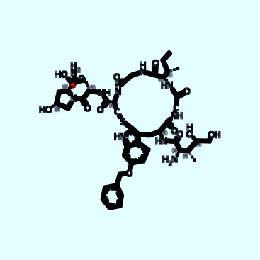 CC[C@H](C)[C@@H]1NC(=O)CNC(=O)[C@@H](NC(=O)[C@@H](N)[C@@H](C)[C@@H](O)CO)Cc2c([nH]c3cc(OCc4ccccc4)ccc23)SC[C@@H](C(=O)N[C@@H](CC(N)=O)C(=O)N2C[C@H](O)C[C@H]2C(=O)O)NC(=O)CNC1=O